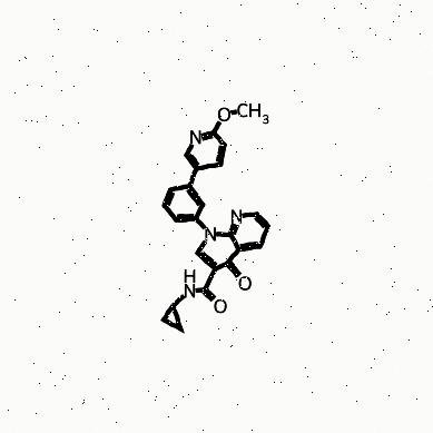 COc1ccc(-c2cccc(-n3cc(C(=O)NC4CC4)c(=O)c4cccnc43)c2)cn1